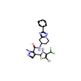 CCC1=C(C(F)F)N(CC)C(c2cnn(C)c2C(=O)NC2CCn3nc(-c4ccccc4)nc3C2)S1